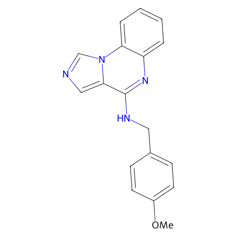 COc1ccc(CNc2nc3ccccc3n3cncc23)cc1